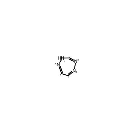 C1=NN=CNN=C1